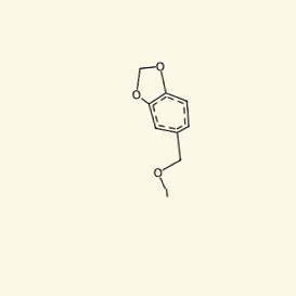 IOCc1ccc2c(c1)OCO2